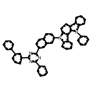 c1ccc(-c2cccc(-c3nc(-c4ccccc4)nc(-c4ccc5ccc(-n6c7ccccc7c7c6ccc6c8ccccc8n(-c8ccccc8)c67)cc5c4)n3)c2)cc1